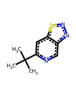 CC(C)(C)c1cc2snnc2cn1